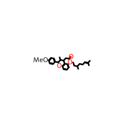 COc1ccc(C(=O)C(C)C(CC(=O)OCCC(C)CCC=C(C)C)c2ccccc2)cc1